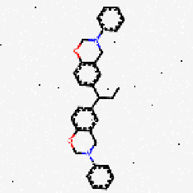 CCC(c1ccc2c(c1)CN(c1ccccc1)CO2)c1ccc2c(c1)CN(c1ccccc1)CO2